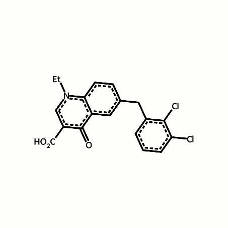 CCn1cc(C(=O)O)c(=O)c2cc(Cc3cccc(Cl)c3Cl)ccc21